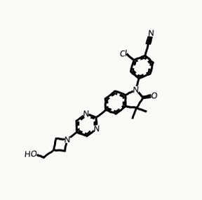 CC1(C)C(=O)N(c2ccc(C#N)c(Cl)c2)c2ccc(-c3ncc(N4CC(CO)C4)cn3)cc21